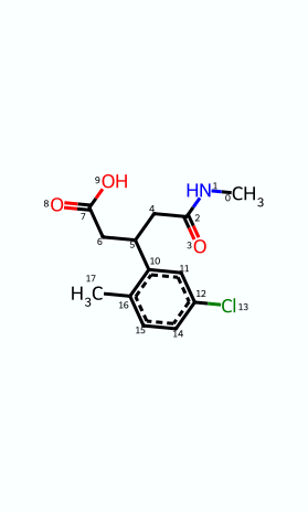 CNC(=O)CC(CC(=O)O)c1cc(Cl)ccc1C